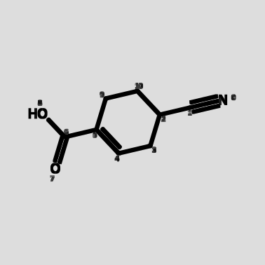 N#CC1CC=C(C(=O)O)CC1